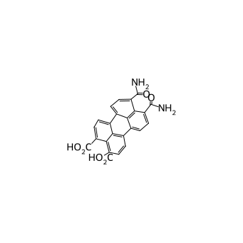 NC(=O)c1ccc2c3ccc(C(=O)O)c4c(C(=O)O)ccc(c5ccc(C(N)=O)c1c25)c43